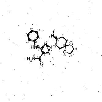 C/N=C1\CCC2(C[C@@H]1n1cc(C(N)=O)c(Nc3ccccc3)n1)OCCO2